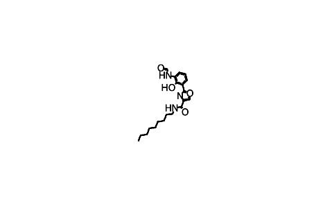 CCCCCCCCCNC(=O)c1coc(-c2cccc(NC=O)c2O)n1